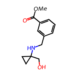 COC(=O)c1cccc(CNC2(CO)CC2)c1